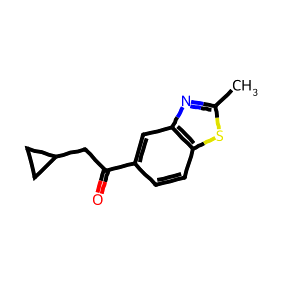 Cc1nc2cc(C(=O)CC3CC3)ccc2s1